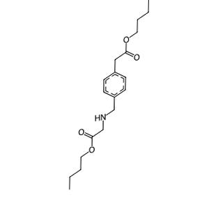 CCCCOC(=O)CNCc1ccc(CC(=O)OCCCC)cc1